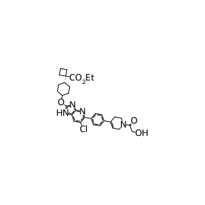 CCOC(=O)C1([C@H]2CC[C@H](Oc3nc4nc(-c5ccc(C6=CCN(C(=O)CO)CC6)cc5)c(Cl)cc4[nH]3)CC2)CCC1